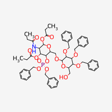 CCC(=O)NC1C(OC(=O)CC)OC(COC2OC(CO)C(OCc3ccccc3)C(OCc3ccccc3)C2OCc2ccccc2)C(OP(=O)(OCc2ccccc2)OCc2ccccc2)C1OC(=O)CC